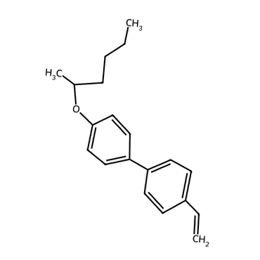 C=Cc1ccc(-c2ccc(OC(C)CCCC)cc2)cc1